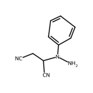 N#CCC(C#N)N(N)c1ccccc1